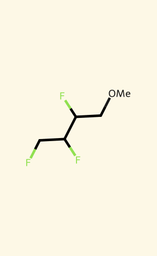 COCC(F)C(F)CF